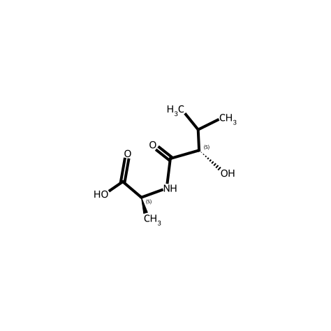 CC(C)[C@H](O)C(=O)N[C@@H](C)C(=O)O